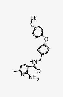 CCSc1ccc(Oc2ccc(CNC(=O)c3ccc(C)nc3N)cc2)cc1